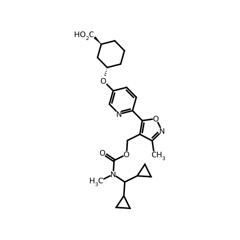 Cc1noc(-c2ccc(O[C@H]3CCC[C@H](C(=O)O)C3)cn2)c1COC(=O)N(C)C(C1CC1)C1CC1